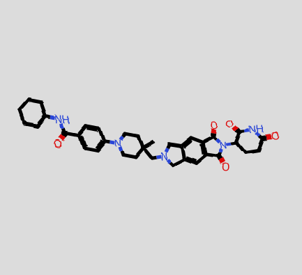 CC1(CN2Cc3cc4c(cc3C2)C(=O)N(C2CCC(=O)NC2=O)C4=O)CCN(c2ccc(C(=O)NC3CCCCC3)cc2)CC1